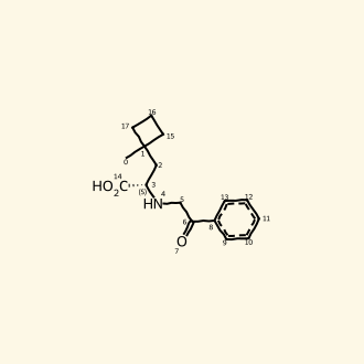 CC1(C[C@H](NCC(=O)c2ccccc2)C(=O)O)CCC1